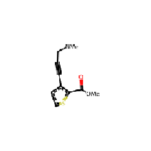 CNCC#Cc1ccsc1C(=O)OC